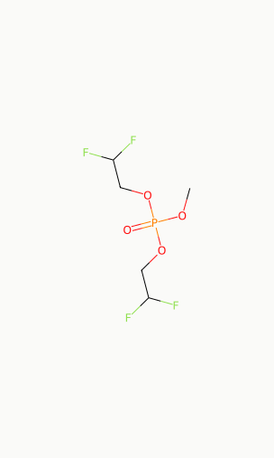 COP(=O)(OCC(F)F)OCC(F)F